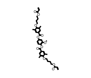 C=CC(=O)OCCCCOc1c(C)cc(C(=O)Oc2ccc(OC(=O)c3cc(C)c(OCCCCOC(=O)C=C)c(C)c3)c(OC)c2)cc1C